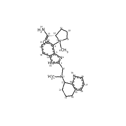 CN(Cc1nc2c([N+]3(C)CCC[C@H]3C(N)=O)cccc2[nH]1)C1CCCc2cccnc21